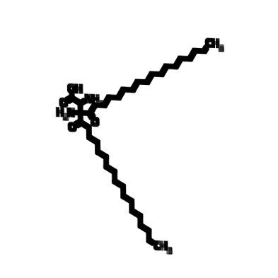 CCCCCCCCCCCCCCCCCC(=O)C(N)(C(=O)CCCCCCCCCCCCCCCCC)C(N)C(=O)O